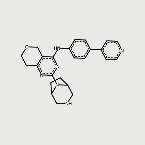 c1cc(-c2ccc(Nc3nc(N4C5CCC4CNC5)nc4c3COCC4)cc2)ccn1